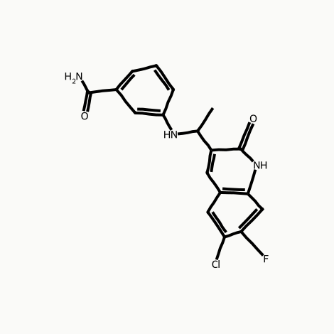 CC(Nc1cccc(C(N)=O)c1)c1cc2cc(Cl)c(F)cc2[nH]c1=O